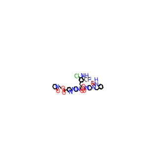 Nc1c(Cl)cc(C[C@@H](OC(=O)N2CCC(N3CCc4ccccc4NC3=O)CC2)C(=O)N2CCN(c3ccc(C(=O)OCCN4CCCCC4=O)cn3)CC2)cc1C(F)(F)F